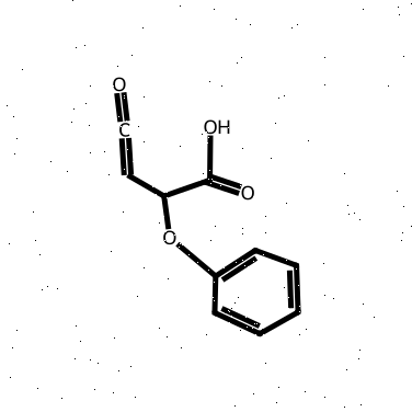 O=C=CC(Oc1ccccc1)C(=O)O